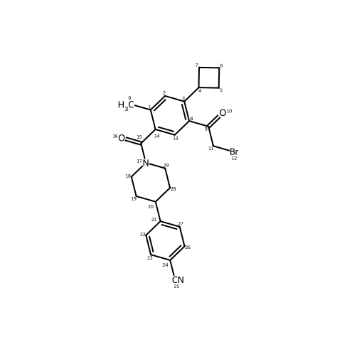 Cc1cc(C2CCC2)c(C(=O)CBr)cc1C(=O)N1CCC(c2ccc(C#N)cc2)CC1